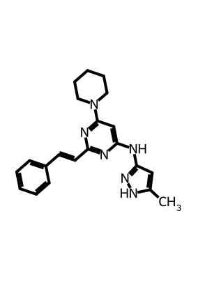 Cc1cc(Nc2cc(N3CCCCC3)nc(C=Cc3ccccc3)n2)n[nH]1